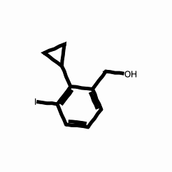 O[CH]c1cccc(I)c1C1CC1